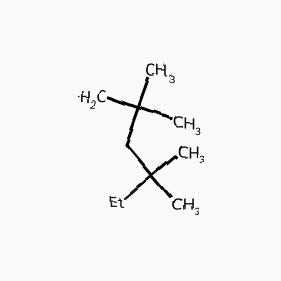 [CH2]C(C)(C)CC(C)(C)CC